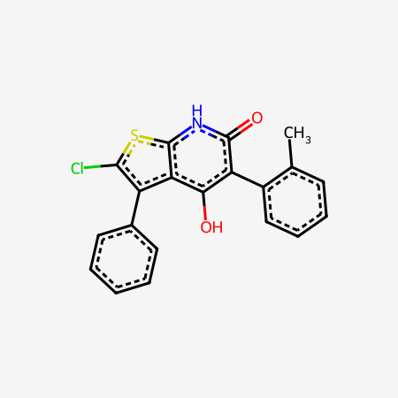 Cc1ccccc1-c1c(O)c2c(-c3ccccc3)c(Cl)sc2[nH]c1=O